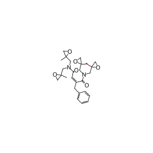 CC1(CN(CC2(C)CO2)C(=O)/C=C(/Cc2ccccc2)C(=O)N(CC2(C)CO2)CC2(C)CO2)CO1